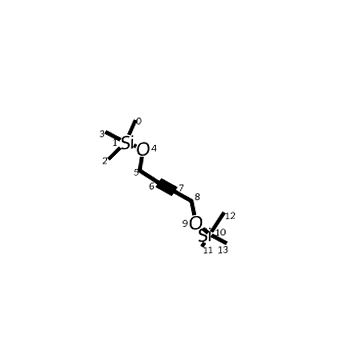 C[Si](C)(C)OCC#CCO[Si](C)(C)C